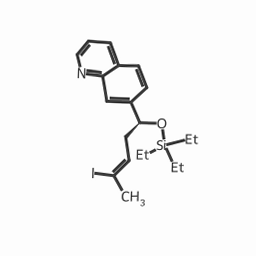 CC[Si](CC)(CC)O[C@@H](C/C=C(/C)I)c1ccc2cccnc2c1